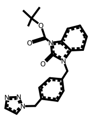 CC(C)(C)OC(=O)n1c(=O)n(Cc2ccc(Cn3ccnn3)cc2)c2ccccc21